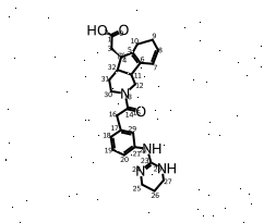 O=C(O)C[C@H]1C2=C(C=CCC2)C2CN(C(=O)Cc3cccc(NC4=NCCCN4)c3)CCC21